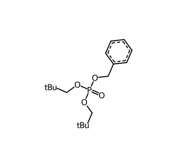 CC(C)(C)COP(=O)(OCc1ccccc1)OCC(C)(C)C